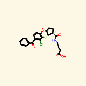 O=C(O)CCCNC(=O)[C@H]1CC[C@H](Oc2ccc(C(=O)c3ccccc3)c(Cl)c2Cl)C1